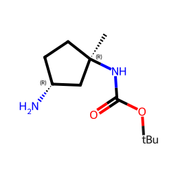 CC(C)(C)OC(=O)N[C@]1(C)CC[C@@H](N)C1